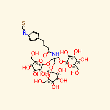 O=C(CCCc1ccc(N=C=S)cc1)NC(CO[C@@H]1O[C@H](CO)[C@H](O)[C@H](O)[C@H]1O)(CO[C@@H]1O[C@H](CO)[C@H](O)[C@H](O)[C@H]1O)CO[C@@H]1O[C@H](CO)[C@H](O)[C@H](O)[C@H]1O